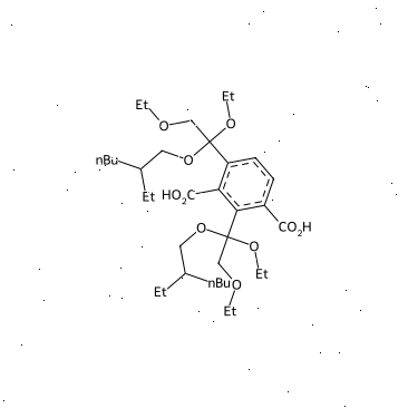 CCCCC(CC)COC(COCC)(OCC)c1ccc(C(=O)O)c(C(COCC)(OCC)OCC(CC)CCCC)c1C(=O)O